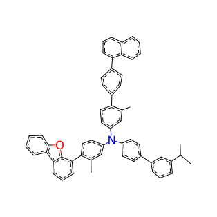 Cc1cc(N(c2ccc(-c3cccc(C(C)C)c3)cc2)c2ccc(-c3cccc4c3oc3ccccc34)c(C)c2)ccc1-c1ccc(-c2cccc3ccccc23)cc1